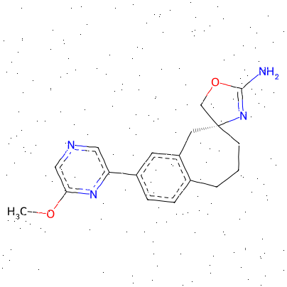 COc1cncc(-c2ccc3c(c2)C[C@]2(CCC3)COC(N)=N2)n1